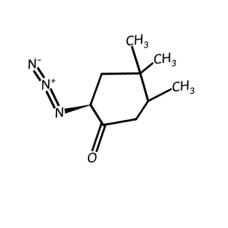 CC1CC(=O)[C@@H](N=[N+]=[N-])CC1(C)C